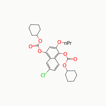 CCCOc1cc(OC(=O)OC2CCCCC2)c2cc(Cl)ccc2c1OC(=O)OC1CCCCC1